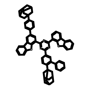 c1ccc(-c2cc(-c3nc(-c4cccc5c4oc4ccccc45)nc(-c4cc(-c5ccc(C67CC8CC(CC(C8)C6)C7)cc5)cc5c4oc4ccccc45)n3)ccc2C23CC4CC(CC(C4)C2)C3)cc1